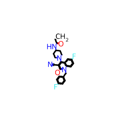 C=CC(=O)NC1CCN(c2c(C#N)c(=O)n(Cc3ccc(F)cc3)c3ccc(F)cc23)CC1